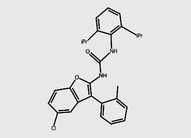 Cc1ccccc1-c1c(NC(=O)Nc2c(C(C)C)cccc2C(C)C)oc2ccc(Cl)cc12